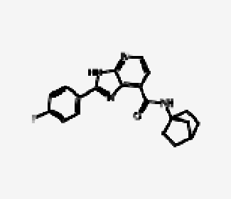 O=C(NC12CCC(CC1)C2)c1ccnc2[nH]c(-c3ccc(F)cc3)nc12